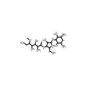 COC(CN)C(O)C(O)C(N)C(C)OC1C(CO)OC(OC2C(O)C(N)CC(N)C2O)C1O